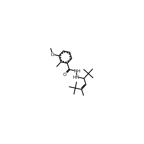 COc1cccc(C(=O)NNC(C=C(C)C(C)(C)C)C(C)(C)C)c1C